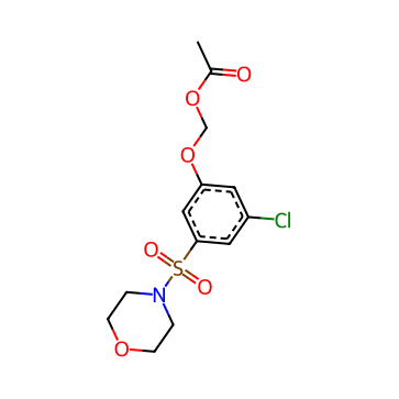 CC(=O)OCOc1cc(Cl)cc(S(=O)(=O)N2CCOCC2)c1